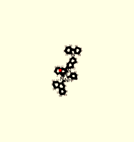 C1=CCC(C2=NC(c3ccccc3-n3c4c(c5ccccc53)=CC3CC(n5c6c(c7ccccc75)CCC=C6)=CC=C3C=4)NC(C3=Cc4ccccc4C4C=CC=CC34)=N2)C=C1